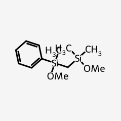 CO[Si](C)(C)C[Si](C)(OC)c1ccccc1